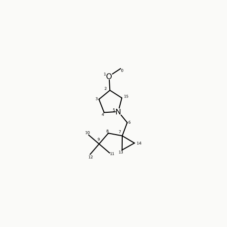 COC1CCN(CC2(CC(C)(C)C)CC2)C1